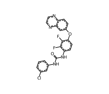 O=C(Nc1cccc(Cl)c1)Nc1ccc(Oc2ccc3nccnc3c2)c(F)c1F